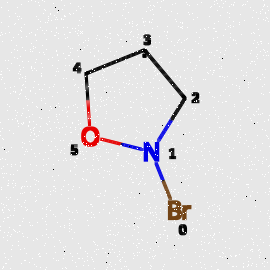 BrN1C[CH]CO1